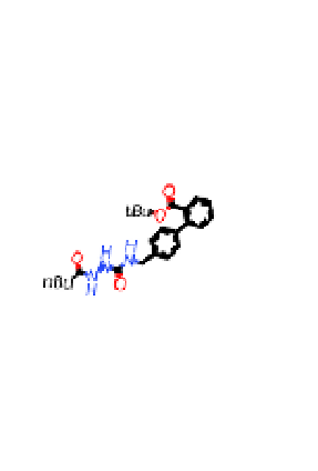 CCCCC(=O)NNC(=O)NCc1ccc(-c2ccccc2C(=O)OC(C)(C)C)cc1